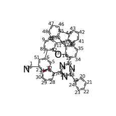 N#Cc1cccc(-c2cccc3c2Oc2c(-c4nc(-c5ccccc5)nc(-c5ccccc5)n4)cccc2C32c3ccccc3-c3ccccc32)c1